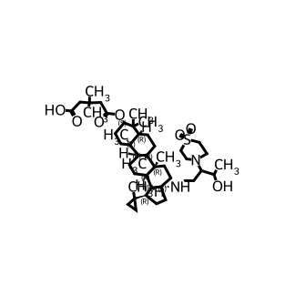 CC(O)C(CCN[C@]12CC[C@@H](C3(C)CC3)[C@@H]1[C@H]1CC[C@@H]3[C@@]4(C)CC[C@H](OC(=O)CC(C)(C)CC(=O)O)C(C)(C)[C@@H]4CC[C@@]3(C)[C@]1(C)CC2)N1CCS(=O)(=O)CC1